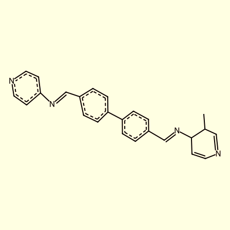 CC1C=NC=CC1/N=C/c1ccc(-c2ccc(/C=N/c3ccncc3)cc2)cc1